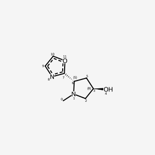 CN1C[C@H](O)C[C@H]1c1ncco1